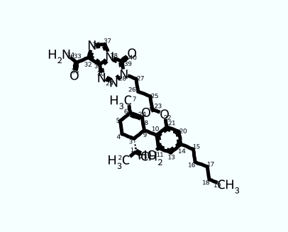 C=C(C)[C@@H]1CCC(C)=CC1c1c(O)cc(CCCCC)cc1OC(=O)CCCn1nnc2c(C(N)=O)ncn2c1=O